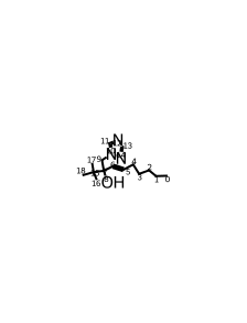 CCCCCC#CC(O)(Cn1cncn1)C(C)(C)C